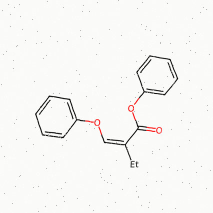 CCC(=COc1ccccc1)C(=O)Oc1ccccc1